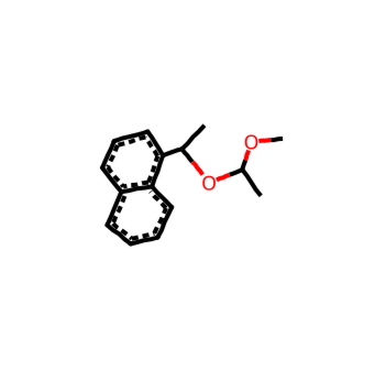 COC(C)OC(C)c1cccc2ccccc12